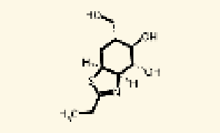 CCC1=N[C@@H]2[C@@H](O)[C@H](O)[C@@H](CO)C[C@@H]2S1